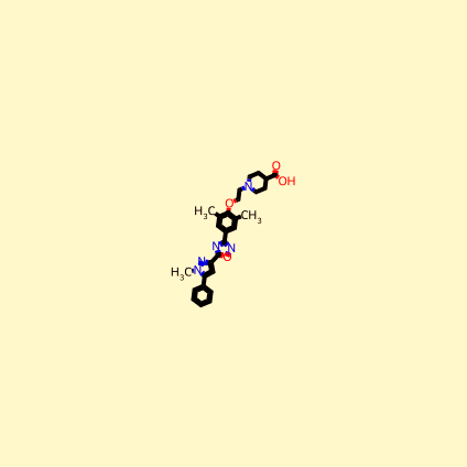 Cc1cc(-c2noc(-c3cc(-c4ccccc4)n(C)n3)n2)cc(C)c1OCCN1CCC(C(=O)O)CC1